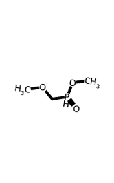 COC[PH](=O)OC